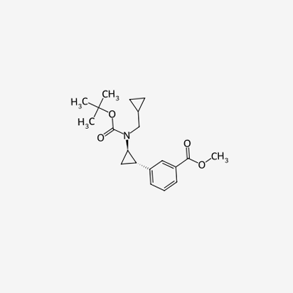 COC(=O)c1cccc([C@@H]2C[C@H]2N(CC2CC2)C(=O)OC(C)(C)C)c1